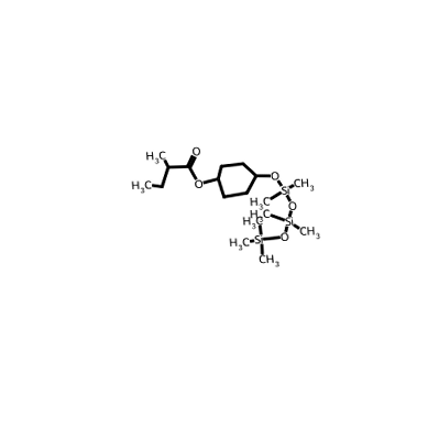 CCC(C)C(=O)OC1CCC(O[Si](C)(C)O[Si](C)(C)O[Si](C)(C)C)CC1